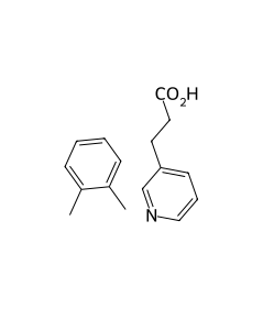 Cc1ccccc1C.O=C(O)CCc1cccnc1